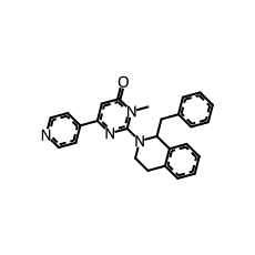 Cn1c(N2CCc3ccccc3C2Cc2ccccc2)nc(-c2ccncc2)cc1=O